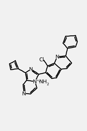 N[N+]12C=CN=CC1=C(C1=CC=C1)N=C2c1ccc2ccc(-c3ccccc3)nc2c1Cl